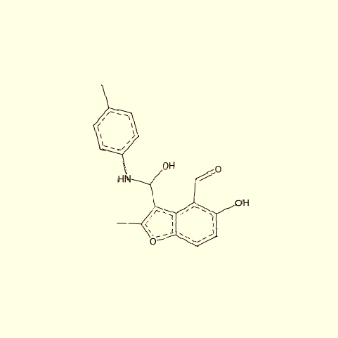 Cc1ccc(NC(O)c2c(C)oc3ccc(O)c(C=O)c23)cc1